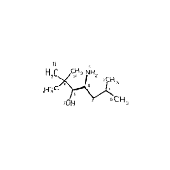 CC(C)C[C@H](N)C(O)C(C)(C)C